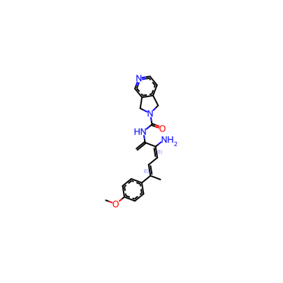 C=C(NC(=O)N1Cc2ccncc2C1)/C(N)=C\C=C(/C)c1ccc(OC)cc1